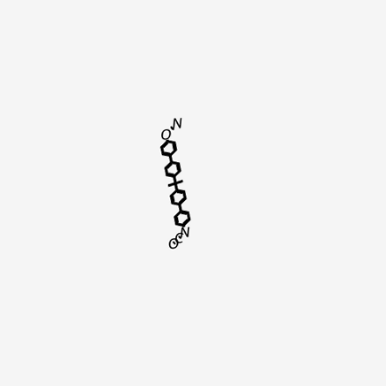 CC(C)(c1ccc(-c2ccc(N=C=O)cc2)cc1)c1ccc(-c2ccc(OC#N)cc2)cc1